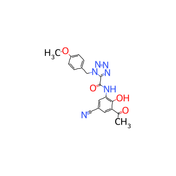 COc1ccc(Cn2nnnc2C(=O)Nc2cc(C#N)cc(C(C)=O)c2O)cc1